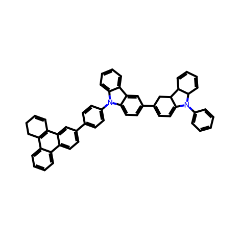 C1=CC2C3CC(c4ccc5c(c4)c4ccccc4n5-c4ccc(-c5ccc6c(c5)c5c(c7ccccc76)CCC=C5)cc4)=CC=C3N(c3ccccc3)C2C=C1